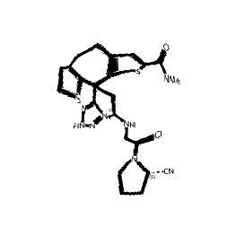 CNC(=O)c1cc2c(s1)C(C[C@H](C)NCC(=O)N1CCC[C@H]1C#N)(c1nn[nH]n1)c1sccc1CC2